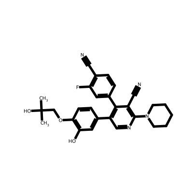 CC(C)(O)COc1ccc(-c2cnc(N3CCCCC3)c(C#N)c2-c2ccc(C#N)c(F)c2)cc1O